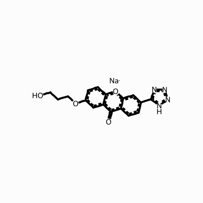 O=c1c2ccc(-c3nnn[nH]3)cc2oc2ccc(OCCCO)cc12.[Na]